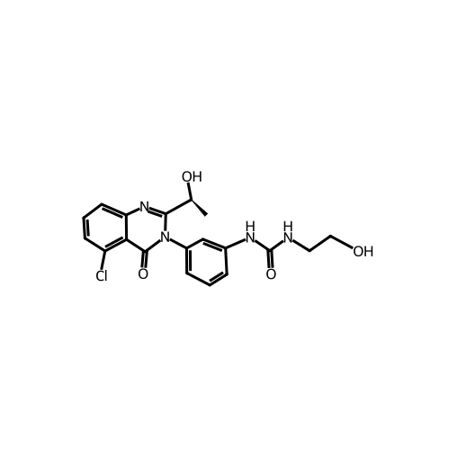 C[C@H](O)c1nc2cccc(Cl)c2c(=O)n1-c1cccc(NC(=O)NCCO)c1